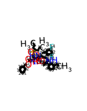 CCCC(CCC)S(=O)(=O)CC(NC(=O)OCc1ccccc1)C(=O)N[C@@H](Cc1cc(F)cc(F)c1)[C@H](O)CNC1(c2cccc(CC)c2)CC1